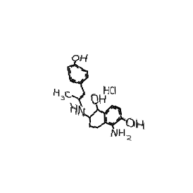 CC(Cc1ccc(O)cc1)NC1CCc2c(ccc(O)c2N)C1O.Cl